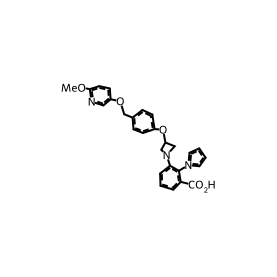 COc1ccc(OCc2ccc(OC3CN(c4cccc(C(=O)O)c4-n4cccc4)C3)cc2)cn1